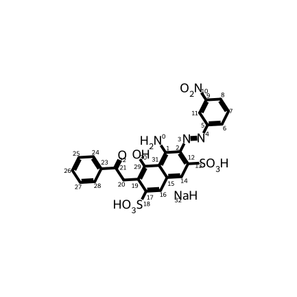 Nc1c(/N=N/c2cccc([N+](=O)[O-])c2)c(S(=O)(=O)O)cc2cc(S(=O)(=O)O)c(CC(=O)c3ccccc3)c(O)c12.[NaH]